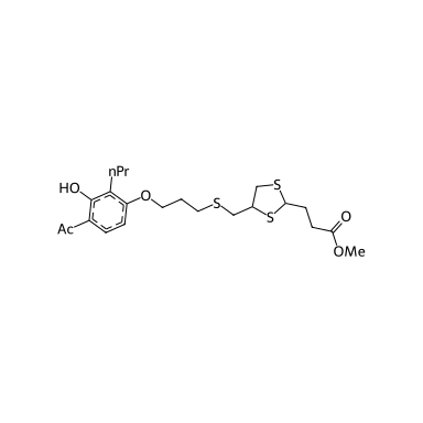 CCCc1c(OCCCSCC2CSC(CCC(=O)OC)S2)ccc(C(C)=O)c1O